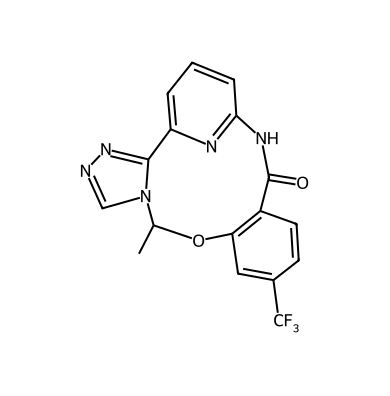 CC1Oc2cc(C(F)(F)F)ccc2C(=O)Nc2cccc(n2)-c2nncn21